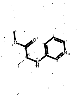 COC(=O)[C@@H](C)Nc1cccnc1